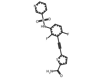 NC(=O)c1ccc(C#Cc2c(F)ccc(NS(=O)(=O)c3cccnc3)c2F)s1